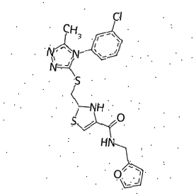 Cc1nnc(SCC2NC(C(=O)NCc3ccco3)=CS2)n1-c1cccc(Cl)c1